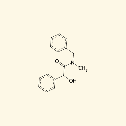 CN(Cc1ccccc1)C(=O)C(O)c1ccccc1